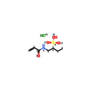 C=CC(=O)NCC(CC)S(=O)(=O)O.Cl